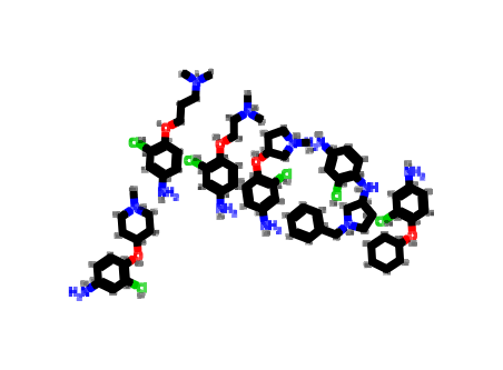 CN(C)CCCOc1ccc(N)cc1Cl.CN(C)CCOc1ccc(N)cc1Cl.CN1CCC(Oc2ccc(N)cc2Cl)C1.CN1CCC(Oc2ccc(N)cc2Cl)CC1.Nc1ccc(NC2CCN(Cc3ccccc3)C2)c(Cl)c1.Nc1ccc(OC2CCCCC2)c(Cl)c1